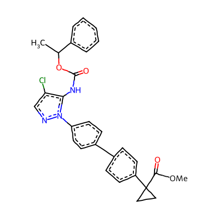 COC(=O)C1(c2ccc(-c3ccc(-n4ncc(Cl)c4NC(=O)OC(C)c4ccccc4)cc3)cc2)CC1